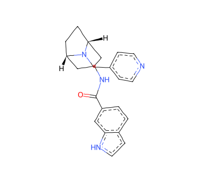 O=C(NC1C[C@H]2CC[C@@H](C1)N2Cc1ccncc1)c1ccc2cc[nH]c2c1